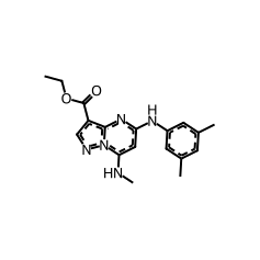 CCOC(=O)c1cnn2c(NC)cc(Nc3cc(C)cc(C)c3)nc12